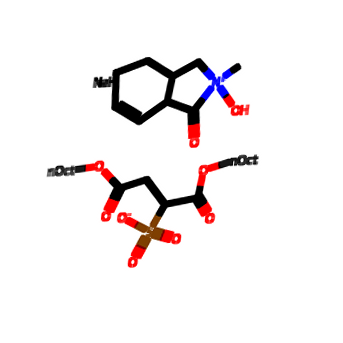 CCCCCCCCOC(=O)CC(C(=O)OCCCCCCCC)S(=O)(=O)[O-].C[N+]1(O)CC2CCC=CC2C1=O.[NaH]